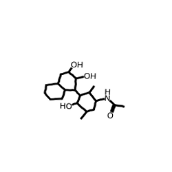 CC(=O)NC1CC(C)C(O)C(C2C(O)C(O)CC3CCCCC32)C1C